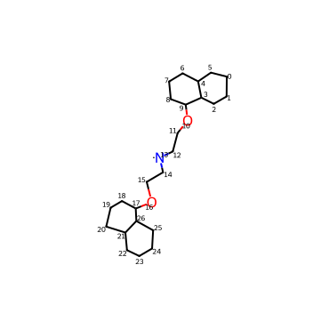 C1CCC2C(C1)CCCC2OCC[N]CCOC1CCCC2CCCCC21